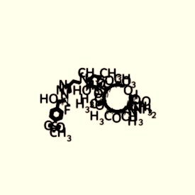 CO[C@]1(C)C[C@@H](C)C(=O)[C@H](C)[C@@H](NN)[C@](C)(OC=O)[C@@H](I)OC(=O)[C@H](C)C(=O)[C@H](C)[C@H]1O[C@@H]1O[C@H](C)C[C@H](N(C)CCc2cn([C@H](CF)[C@H](O)c3ccc(S(C)(=O)=O)cc3)nn2)[C@H]1O